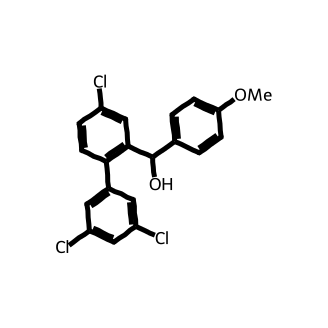 COc1ccc(C(O)c2cc(Cl)ccc2-c2cc(Cl)cc(Cl)c2)cc1